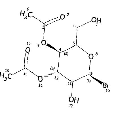 CC(=O)O[C@H]1C(CO)O[C@@H](Br)C(O)[C@@H]1OC(C)=O